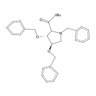 CCCCC(=O)C1[C@@H](OCc2ccccc2)[C@H](OCc2ccccc2)CN1Cc1ccccc1